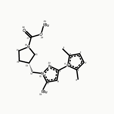 Cc1ccc(C)n1-c1cc(C(C)(C)C)n(C[C@@H]2CCN(C(=O)OC(C)(C)C)C2)n1